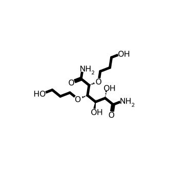 NC(=O)[C@@H](O)[C@@H](O)[C@H](OCCCO)[C@@H](OCCCO)C(N)=O